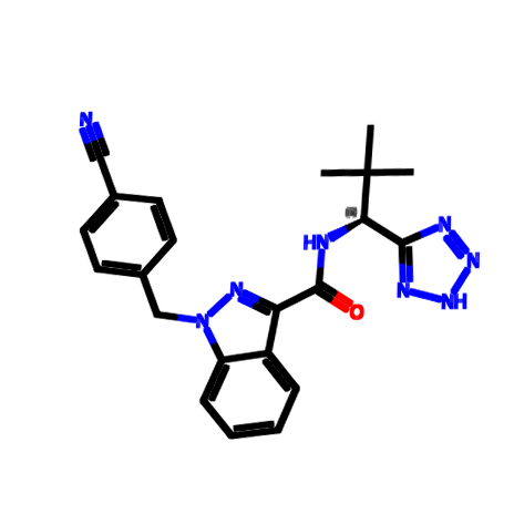 CC(C)(C)[C@H](NC(=O)c1nn(Cc2ccc(C#N)cc2)c2ccccc12)c1nn[nH]n1